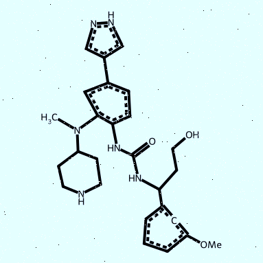 COc1cccc(C(CCO)NC(=O)Nc2ccc(-c3cn[nH]c3)cc2N(C)C2CCNCC2)c1